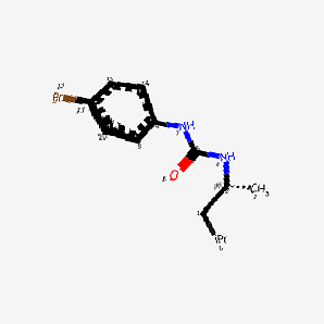 CC(C)C[C@@H](C)NC(=O)Nc1ccc(Br)cc1